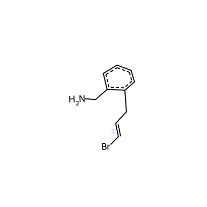 NCc1ccccc1C/C=C/Br